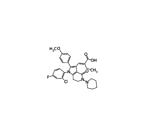 CCC(=Cc1c2c(n(-c3ccc(F)cc3Cl)c1-c1ccc(OC)cc1)CCN(N1CCCCC1)C2=O)C(=O)O